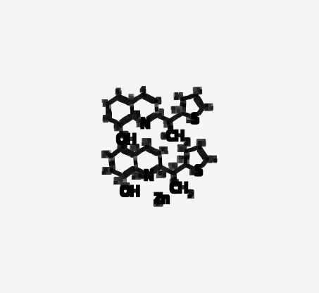 C=C(c1ccc2cccc(O)c2n1)c1cccs1.C=C(c1ccc2cccc(O)c2n1)c1cccs1.[Zn]